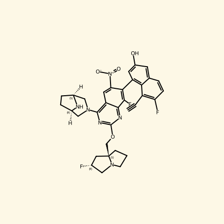 C#Cc1c(F)ccc2cc(O)cc(-c3c([N+](=O)[O-])cc4c(N5C[C@H]6CC[C@@H](C5)N6)nc(OC[C@@]56CCCN5C[C@H](F)C6)nc4c3F)c12